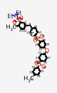 CCN(CC)S(=O)(=O)c1cc(Cc2ccc(S(=O)(=O)c3ccc(Oc4ccc(S(=O)(=O)c5ccc(C)cc5)cc4)cc3)cc2)ccc1C